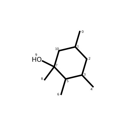 CC1CC(C)C(C)C(C)(O)C1